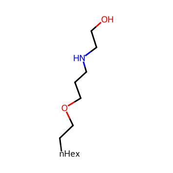 CCCCCCCCOCCCNCCO